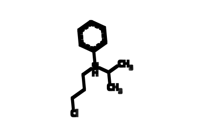 CC(C)[SiH](CCCCl)c1ccccc1